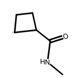 CNC(=O)C1[CH]CC1